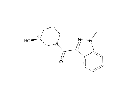 Cn1nc(C(=O)N2CCC[C@H](O)C2)c2ccccc21